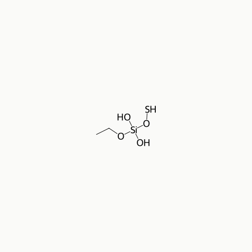 CCO[Si](O)(O)OS